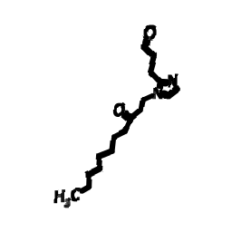 CCCCCCCCC(=O)CCn1ccnc1CCC=O